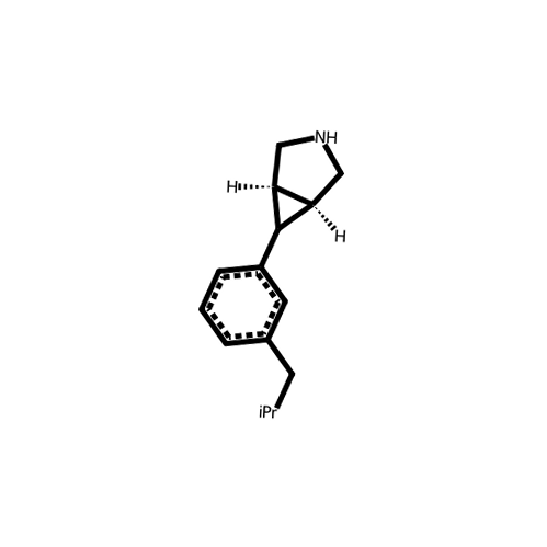 CC(C)Cc1cccc(C2[C@H]3CNC[C@@H]23)c1